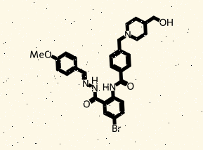 COc1ccc(C=NNC(=O)c2cc(Br)ccc2NC(=O)c2ccc(CN3CCC(CO)CC3)cc2)cc1